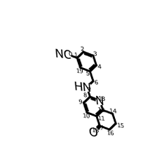 N#Cc1cccc(CNc2ccc3c(n2)CCCC3=O)c1